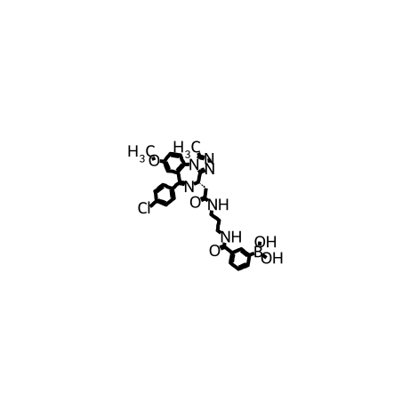 COc1ccc2c(c1)C(c1ccc(Cl)cc1)=N[C@@H](CC(=O)NCCCNC(=O)c1cccc(B(O)O)c1)c1nnc(C)n1-2